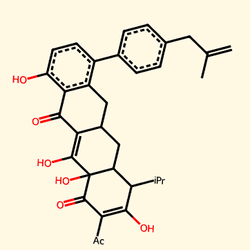 C=C(C)Cc1ccc(-c2ccc(O)c3c2CC2CC4C(C(C)C)C(O)=C(C(C)=O)C(=O)C4(O)C(O)=C2C3=O)cc1